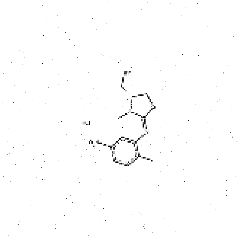 Cc1ccc([N+](=O)[O-])cc1/N=C1/SC[C@@H](CC(C)C)N1C.Cl